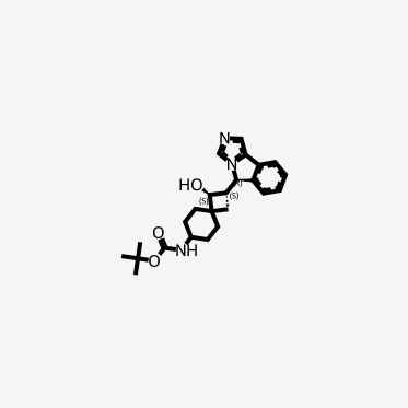 CC(C)(C)OC(=O)NC1CCC2(CC1)C[C@@H]([C@@H]1c3ccccc3-c3cncn31)[C@@H]2O